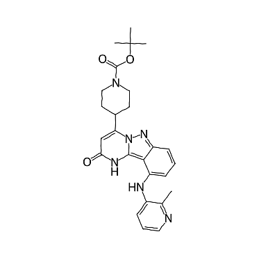 Cc1ncccc1Nc1cccc2nn3c(C4CCN(C(=O)OC(C)(C)C)CC4)cc(=O)[nH]c3c12